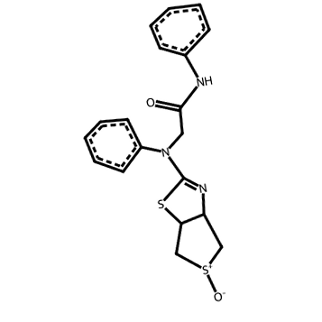 O=C(CN(C1=NC2C[S+]([O-])CC2S1)c1ccccc1)Nc1ccccc1